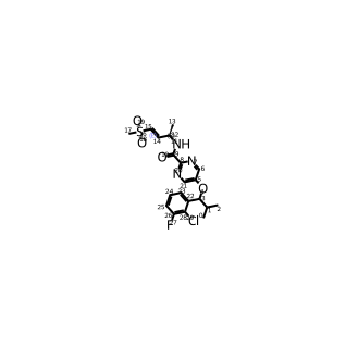 CC(C)C(Oc1cnc(C(=O)N[C@H](C)/C=C/S(C)(=O)=O)nc1)c1cccc(F)c1Cl